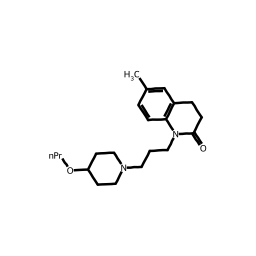 CCCOC1CCN(CCCN2C(=O)CCc3cc(C)ccc32)CC1